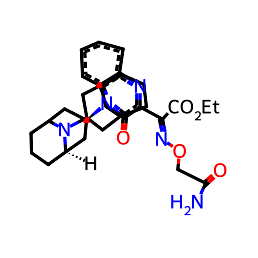 CCOC(=O)/C(=N\OCC(N)=O)c1nc2ccccc2n([C@@H]2CC3CCC[C@H](C2)N3C2CC3CCCC(C3)C2)c1=O